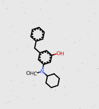 O=CN(c1cc(O)cc(Cc2ccccc2)c1)C1CCCCC1